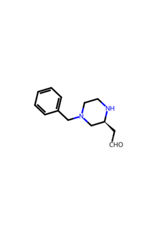 O=CC[C@H]1CN(Cc2ccccc2)CCN1